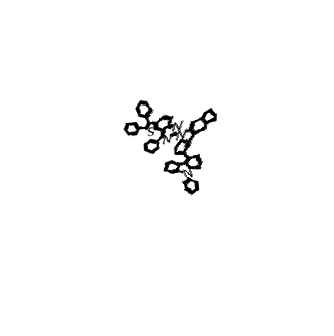 c1ccc(-c2sc3c(ccc4nc(-n5c6ccc(-c7cccc8c7c7ccccc7n8-c7ccccc7)cc6c6cc7ccccc7cc65)nc(-c5ccccc5)c43)c2-c2ccccc2)cc1